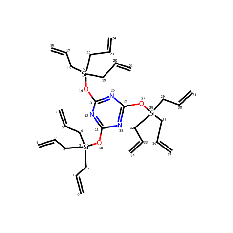 C=CC[Si](CC=C)(CC=C)Oc1nc(O[Si](CC=C)(CC=C)CC=C)nc(O[Si](CC=C)(CC=C)CC=C)n1